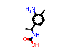 Cc1ccc([C@H](C)NC(=O)O)cc1N